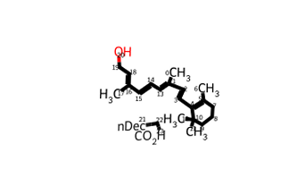 CC(C=CC1=C(C)CCCC1(C)C)=CC=CC(C)=CCO.CCCCCCCCCCCC(=O)O